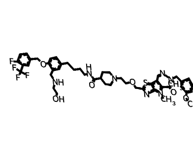 COc1cccc(CN(C)/N=C\c2c(C=O)n(C)c3nc(COCCN4CCC(C(=O)NCCCCc5ccc(OCc6ccc(F)c(C(F)(F)F)c6)c(CNCCO)c5)CC4)sc23)c1